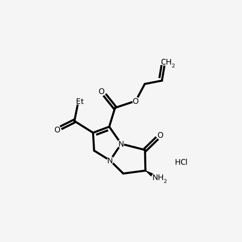 C=CCOC(=O)C1=C(C(=O)CC)CN2C[C@H](N)C(=O)N12.Cl